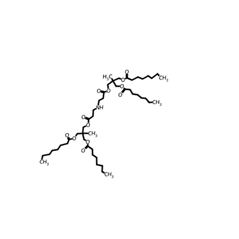 CCCCCCCC(=O)OCC(C)(COC(=O)CCCCCCC)COC(=O)CCNCCC(=O)OCC(C)(COC(=O)CCCCCCC)COC(=O)CCCCCCC